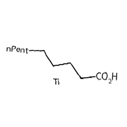 CCCCCCCCCC(=O)O.[Ti]